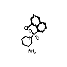 N[C@@H]1CCCN(S(=O)(=O)c2cccc3cncc(Cl)c23)C1